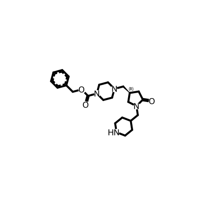 O=C1C[C@H](CN2CCN(C(=O)OCc3ccccc3)CC2)CN1CC1CCNCC1